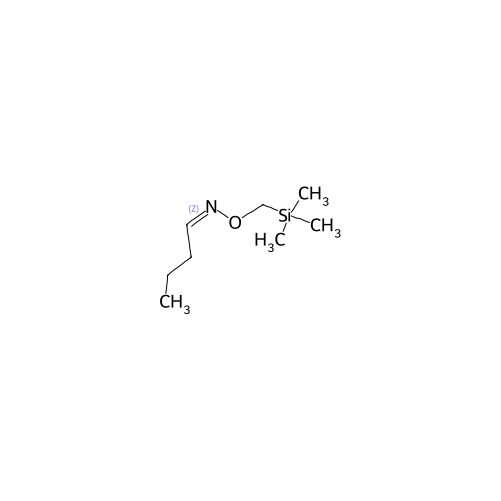 CCC/C=N\OC[Si](C)(C)C